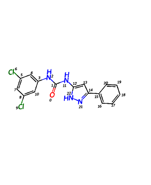 O=C(Nc1cc(Cl)cc(Cl)c1)Nc1cc(-c2ccccc2)n[nH]1